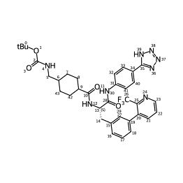 CC(C)(C)OC(=O)NCC1CCC(C(=O)N[C@@H](Cc2cccc(-c3cccnc3C(F)(F)F)c2)C(=O)Nc2ccc(-c3nnn[nH]3)cc2)CC1